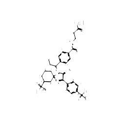 CCC(c1ccc(C(=O)NCCC(=O)O)cc1)N1C(=O)C(c2ccc(C(F)(F)F)cc2)=NC12CCCC(C(F)(F)F)C2